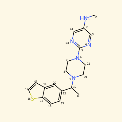 CNc1cnc(N2CCN(C(C)c3ccc4sccc4c3)CC2)nc1